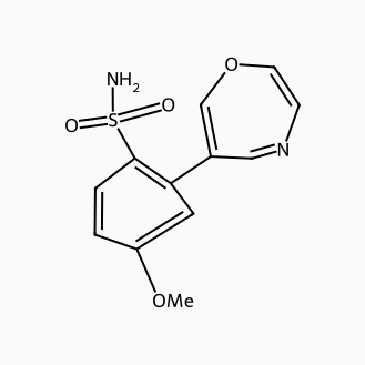 COc1ccc(S(N)(=O)=O)c(C2=COC=CN=C2)c1